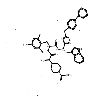 Cc1cc(O)cc(C)c1C[C@H](CC(=O)C(N)C1CCN(C(=N)N)CC1)C(=O)N[C@@H](Cc1c[nH]c2ccccc12)c1nc(Cc2ccc(-c3ccccc3)cc2)no1